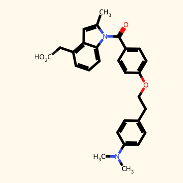 Cc1cc2c(CC(=O)O)cccc2n1C(=O)c1ccc(OCCc2ccc(N(C)C)cc2)cc1